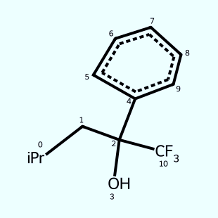 CC(C)CC(O)(c1ccccc1)C(F)(F)F